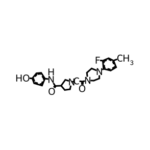 Cc1ccc(N2CCN(C(=O)CN3CCC(C(=O)Nc4ccc(O)cc4)C3)CC2)c(F)c1